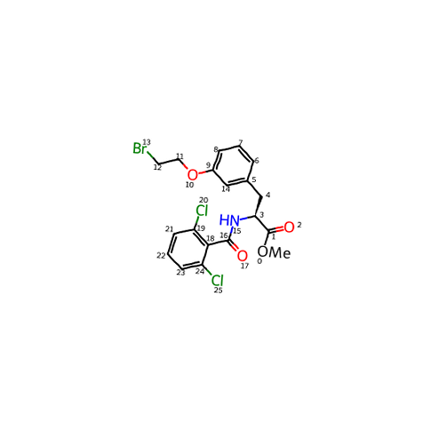 COC(=O)[C@H](Cc1cccc(OCCBr)c1)NC(=O)c1c(Cl)cccc1Cl